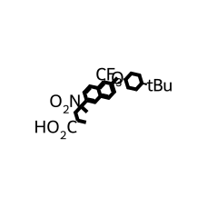 CC(CC(C)(c1ccc2c(C(F)(F)F)c(O[C@H]3CC[C@H](C(C)(C)C)CC3)ccc2c1)[N+](=O)[O-])C(=O)O